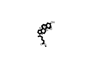 COC(=O)CCCC(C)[C@H]1CC[C@H]2C3=CC=C4CC(O)C5OC5[C@]4(C)[C@H]3CC[C@]12C